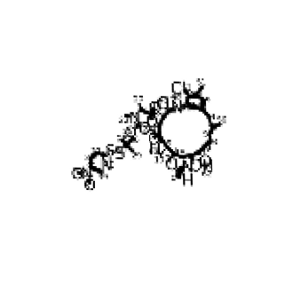 C=C1N[C@]2(O)C[C@](C)(O1)[C@@H](C)[C@@H]1O[C@]1(C)[C@@H](OC(=O)[C@H](C)N(C)C(=O)OCC(C)(C)SSc1ccc([N+](=O)[O-])cn1)CC(=O)N(C)c1cc(cc(C)c1Cl)C/C(C)=C/C=C/[C@H]2OC